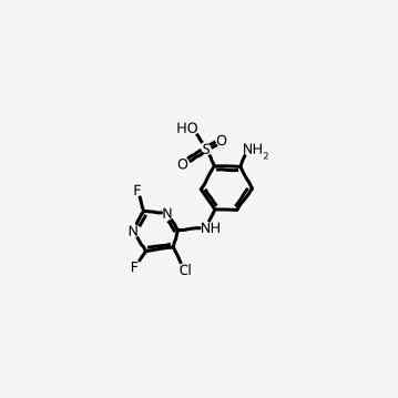 Nc1ccc(Nc2nc(F)nc(F)c2Cl)cc1S(=O)(=O)O